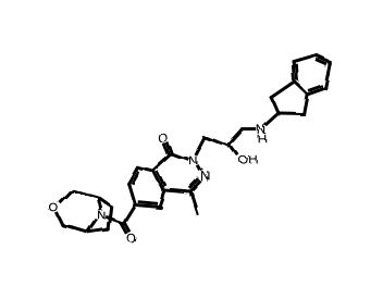 Cc1nn(CC(O)CNC2Cc3ccccc3C2)c(=O)c2ccc(C(=O)N3C4CCC3COC4)cc12